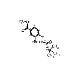 COC(=O)c1ccc(CNC(=O)OC(C)(C)C)c(Br)c1